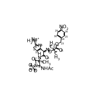 CC(=O)N[C@@H]1N(S(=O)(=O)[O-])C(=O)[C@]1(C)NC(=O)C(=NOC(C)(C)C(=O)OCc1ccc([N+](=O)[O-])cc1)c1csc(N)n1.[Na+]